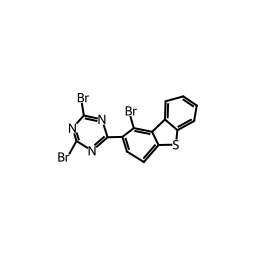 Brc1nc(Br)nc(-c2ccc3sc4ccccc4c3c2Br)n1